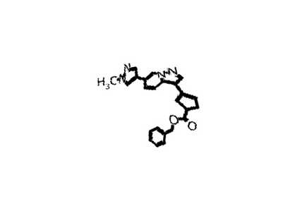 Cn1cc(-c2ccc3c(C4=CCC(C(=O)OCc5ccccc5)C4)cnn3c2)cn1